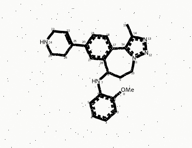 COc1ccccc1NC1CCn2nnc(C)c2-c2ccc(C3=CCNCC3)cc21